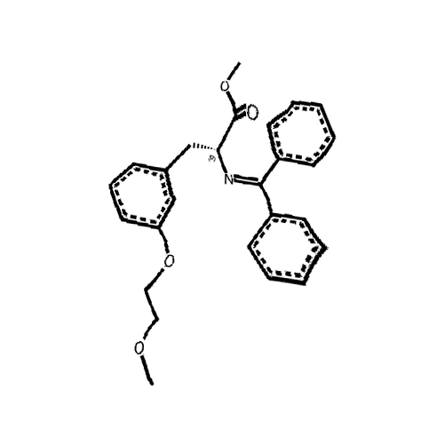 COCCOc1cccc(C[C@@H](N=C(c2ccccc2)c2ccccc2)C(=O)OC)c1